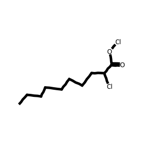 CCCCCCCCC(Cl)C(=O)OCl